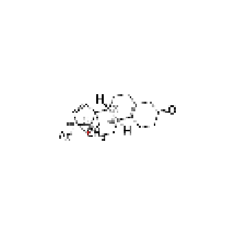 CC(=O)[C@@]12C=CC3(CC1)[C@@H]1CCC4=C(CCC(=O)C4)[C@H]1CC[C@@]32C